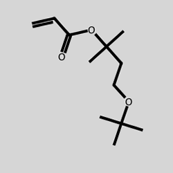 C=CC(=O)OC(C)(C)CCOC(C)(C)C